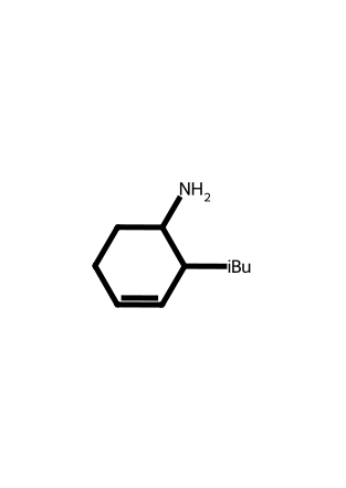 CCC(C)C1C=CCCC1N